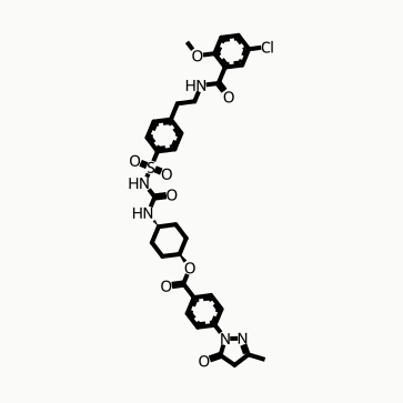 COc1ccc(Cl)cc1C(=O)NCCc1ccc(S(=O)(=O)NC(=O)N[C@H]2CC[C@H](OC(=O)c3ccc(N4N=C(C)CC4=O)cc3)CC2)cc1